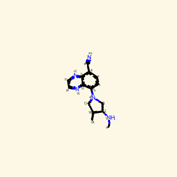 CNC1CN(c2ccc(C#N)c3nccnc23)CC1C